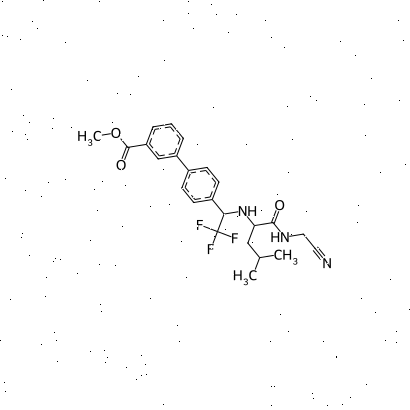 COC(=O)c1cccc(-c2ccc(C(NC(CC(C)C)C(=O)NCC#N)C(F)(F)F)cc2)c1